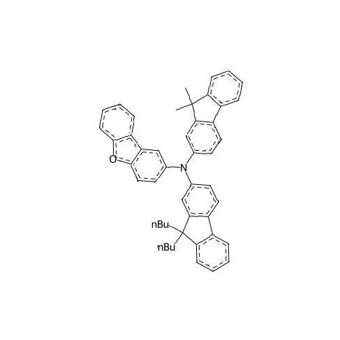 CCCCC1(CCCC)c2ccccc2-c2ccc(N(c3ccc4c(c3)C(C)(C)c3ccccc3-4)c3ccc4oc5ccccc5c4c3)cc21